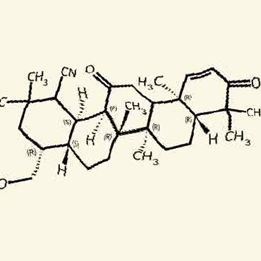 CC(=O)OC[C@@H]1CC(C)(C)C(C#N)[C@@H]2[C@@H]1CC[C@]1(C)[C@@H]2C(=O)CC2[C@@]3(C)C=CC(=O)C(C)(C)[C@@H]3CC[C@]21C